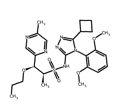 CCCO[C@@H](c1cnc(C)cn1)[C@H](C)S(=O)(=O)Nc1nnc(C2CCC2)n1-c1c(OC)cccc1OC